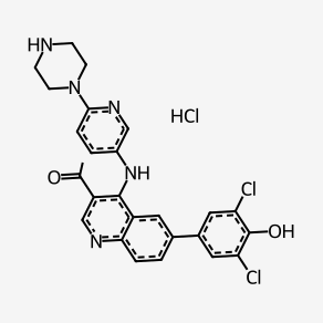 CC(=O)c1cnc2ccc(-c3cc(Cl)c(O)c(Cl)c3)cc2c1Nc1ccc(N2CCNCC2)nc1.Cl